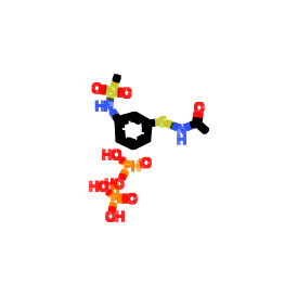 CC(=O)NSc1cccc(NS(C)(=O)=O)c1.O=[PH](O)O.O=[PH](O)O